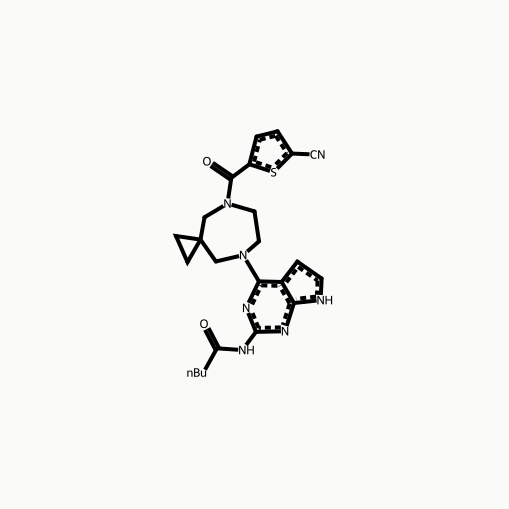 CCCCC(=O)Nc1nc(N2CCN(C(=O)c3ccc(C#N)s3)CC3(CC3)C2)c2cc[nH]c2n1